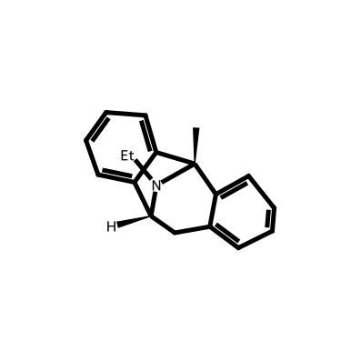 CCN1[C@@H]2Cc3ccccc3[C@@]1(C)c1ccccc12